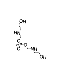 O=[PH](OCNCCO)OCNCCO